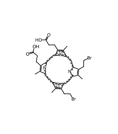 CC1=C(CCBr)c2cc3[nH]c(cc4nc(cc5[nH]c(cc1n2)c(CCBr)c5C)C(C)=C4CCC(=O)O)c(CCC(=O)O)c3C